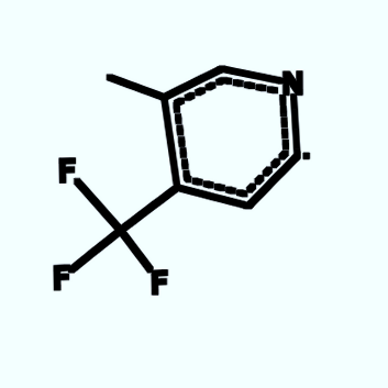 Cc1cn[c]cc1C(F)(F)F